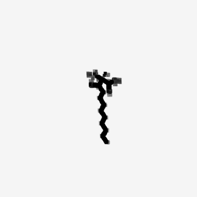 CCCCCCCCCC(=O)[C@@](C)(N)C(=O)O